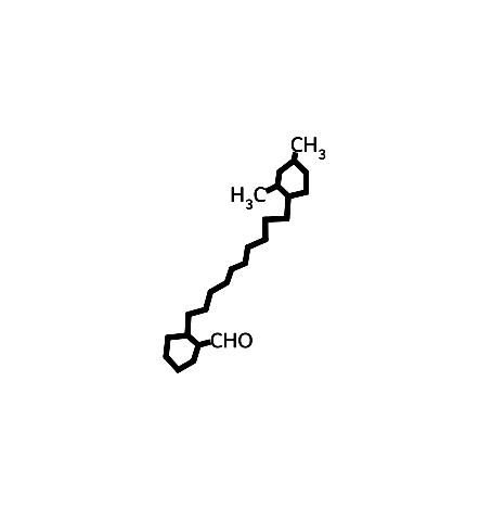 CC1CCC(CCCCCCCCCCC2CCCCC2C=O)C(C)C1